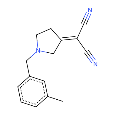 Cc1cccc(CN2CCC(=C(C#N)C#N)C2)c1